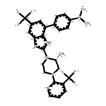 C[C@@H]1CN(c2ncccc2C(F)(F)F)CCN1c1nc2cc(C(F)(F)F)cc(-c3ccc(N(C)C)cc3)c2[nH]1